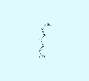 CCCC=C[CH]C=CCCCC